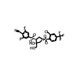 N#Cc1c(F)cc(S(=O)(=O)[C@H]2CN(S(=O)(=O)c3ccc(C(F)(F)F)cc3Cl)C[C@@]2(O)CO)cc1F